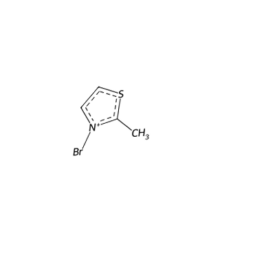 Cc1scc[n+]1Br